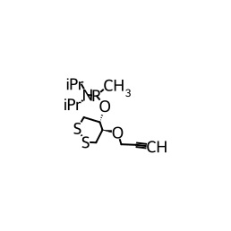 C#CCO[C@H]1CSSC[C@@H]1OP(C)N(C(C)C)C(C)C